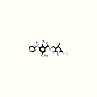 CCN(c1cc(OC)cc(C(=O)NCC2C(=O)NC(C)CC2C)c1C)C1CCOCC1